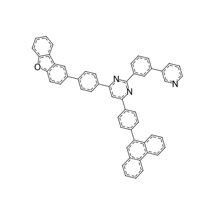 c1cncc(-c2cccc(-c3nc(-c4ccc(-c5ccc6oc7ccccc7c6c5)cc4)cc(-c4ccc(-c5cc6ccccc6c6ccccc56)cc4)n3)c2)c1